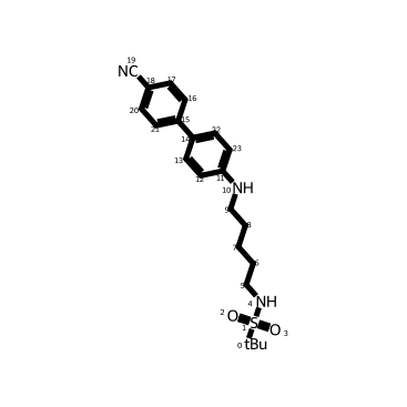 CC(C)(C)S(=O)(=O)NCCCCCNc1ccc(-c2ccc(C#N)cc2)cc1